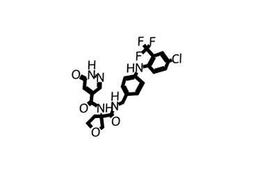 O=C(N[C@@]1(C(=O)NCc2ccc(Nc3ccc(Cl)cc3C(F)(F)F)cc2)CCOC1)c1cn[nH]c(=O)c1